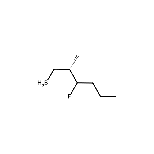 BC[C@H](C)C(F)CCC